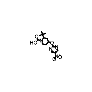 CC(C)(C)C1CC(Oc2ncc([N+](=O)[O-])cn2)CCN1C(=O)O